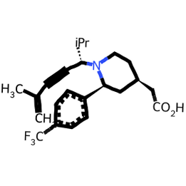 C=C(C)C#C[C@H](C(C)C)N1CC[C@@H](CC(=O)O)C[C@H]1c1ccc(C(F)(F)F)cc1